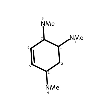 CN[C]1CC(NC)C=CC1NC